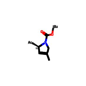 CC(=O)[C@@H]1C=C(C)CN1C(=O)OC(C)(C)C